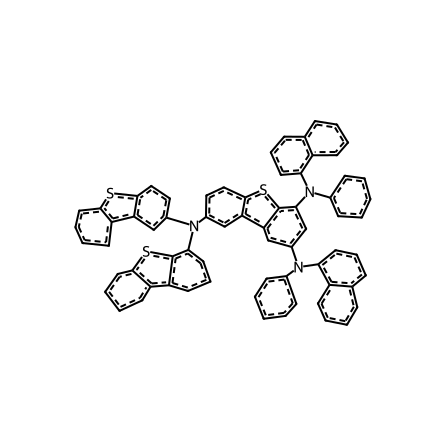 c1ccc(N(c2cc(N(c3ccccc3)c3cccc4ccccc34)c3sc4ccc(N(c5ccc6sc7ccccc7c6c5)c5cccc6c5sc5ccccc56)cc4c3c2)c2cccc3ccccc23)cc1